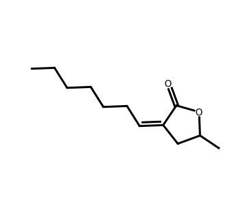 CCCCCCC=C1CC(C)OC1=O